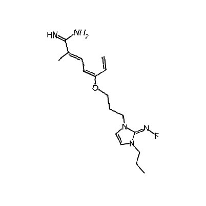 C=C/C(=C\C=C(/C)C(=N)N)OCCCn1ccn(CCC)c1=NF